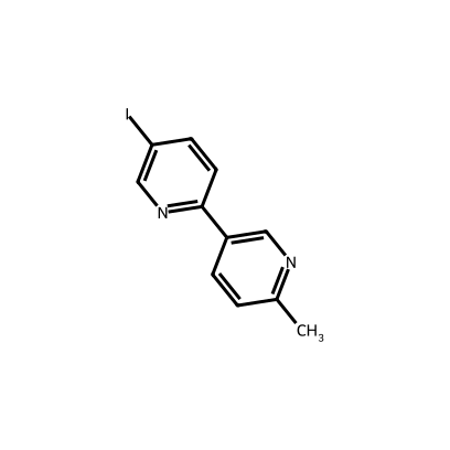 Cc1ccc(-c2ccc(I)cn2)cn1